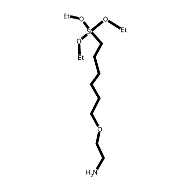 CCO[Si](CCCCCCOCCN)(OCC)OCC